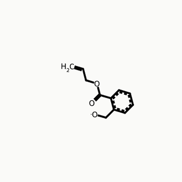 C=CCOC(=O)c1ccccc1C[O]